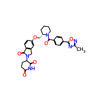 Cc1noc(-c2ccc(C(=O)N3CCCC[C@H]3COc3ccc4c(c3)CN(C3CCC(=O)NC3=O)C4=O)cc2)n1